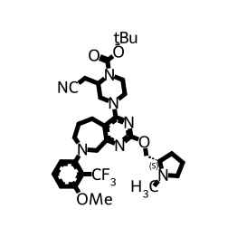 COc1cccc(N2CCCc3c(nc(OC[C@@H]4CCCN4C)nc3N3CCN(C(=O)OC(C)(C)C)C(CC#N)C3)C2)c1C(F)(F)F